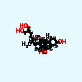 C[C@H](CCCC(CO)CO)[C@H]1CC[C@H]2[C@@H]3[C@H](O)CC4C[C@H](O)CC[C@]4(C)[C@H]3C[C@H](O)[C@]12C